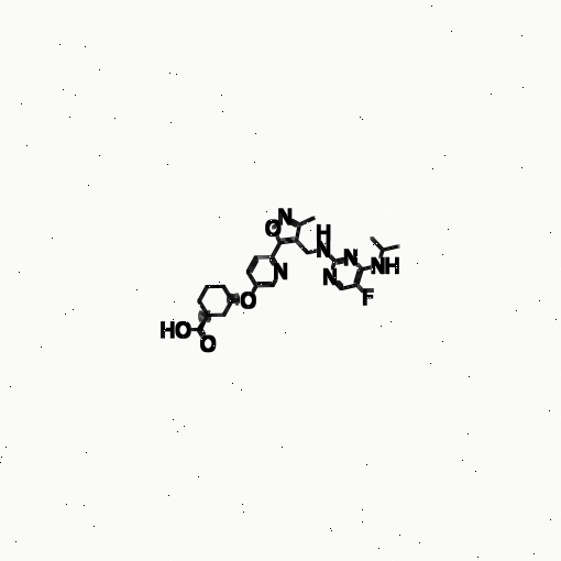 Cc1noc(-c2ccc(O[C@H]3CCC[C@H](C(=O)O)C3)cn2)c1CNc1ncc(F)c(NC(C)C)n1